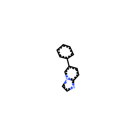 c1ccc(-c2ccc3nccn3c2)cc1